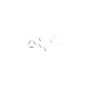 C/C=C(\C=C(/C=C(C)C)c1cc(C)cc(C)c1)CCC(CC)(OC)C1CO1